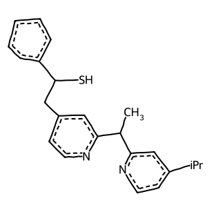 CC(C)c1ccnc(C(C)c2cc(CC(S)c3ccccc3)ccn2)c1